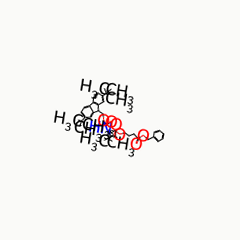 CC(C)[C@H](NC(=O)OCC1c2cc(C(C)(C)C)ccc2-c2ccc(C(C)(C)C)cc21)C(=O)OCCCC(=O)OCc1ccccc1